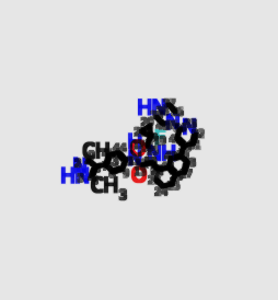 Cc1n[nH]c(C)c1-c1ccc(NC(=O)[C@@H](NC(=O)C2(F)CC2)[C@@H]2CCCc3ccc(-c4ccnc(N5CCNCC5)c4)cc32)cc1